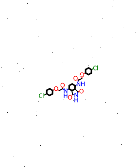 O=C(COc1ccc(Cl)cc1)Nc1ccc(NC(=O)COc2ccc(Cl)cc2)c2c1C(=O)NC2=O